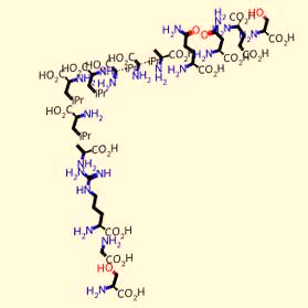 CC(C)C[C@H](N)C(=O)O.CC(C)C[C@H](N)C(=O)O.CC(C)C[C@H](N)C(=O)O.CC(C)[C@H](N)C(=O)O.CC(C)[C@H](N)C(=O)O.C[C@H](N)C(=O)O.C[C@H](N)C(=O)O.N=C(N)NCCC[C@H](N)C(=O)O.NC(=O)CC[C@H](N)C(=O)O.NC(=O)C[C@H](N)C(=O)O.NCC(=O)O.N[C@@H](CCC(=O)O)C(=O)O.N[C@@H](CO)C(=O)O.N[C@@H](CO)C(=O)O